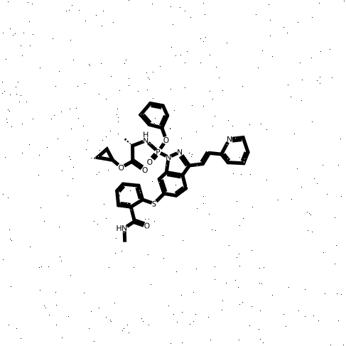 CNC(=O)c1ccccc1Sc1ccc2c(/C=C/c3ccccn3)nn(P(=O)(N[C@@H](C)C(=O)OC3CC3)Oc3ccccc3)c2c1